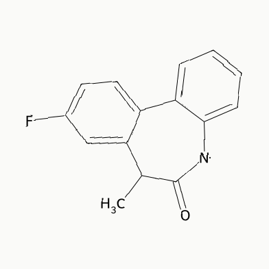 CC1C(=O)[N]c2ccccc2-c2ccc(F)cc21